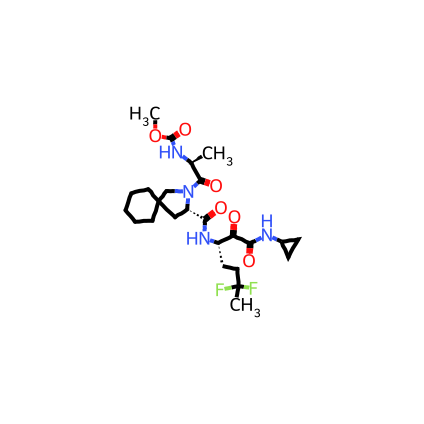 COC(=O)N[C@@H](C)C(=O)N1CC2(CCCCC2)C[C@H]1C(=O)N[C@@H](CCC(C)(F)F)C(=O)C(=O)NC1CC1